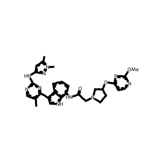 COc1nccc(OC2CCN(CC(=O)Nc3cccc4c(-c5nc(Nc6cc(C)n(C)n6)ncc5C)c[nH]c34)C2)n1